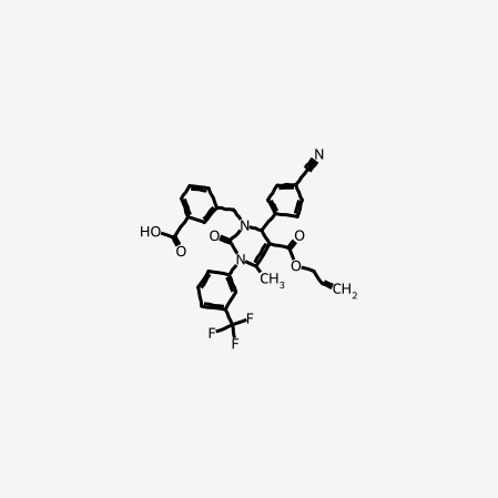 C=CCOC(=O)C1=C(C)N(c2cccc(C(F)(F)F)c2)C(=O)N(Cc2cccc(C(=O)O)c2)C1c1ccc(C#N)cc1